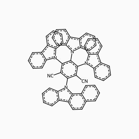 N#Cc1c(-n2c3ccccc3c3ccccc32)c(-n2c3ccccc3c3ccccc32)c(-n2c3ccccc3c3ccccc32)c(C#N)c1-n1c2ccccc2c2ccc3ccccc3c21